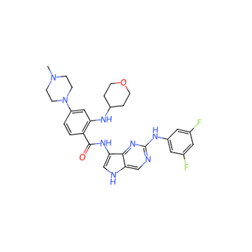 CN1CCN(c2ccc(C(=O)Nc3c[nH]c4cnc(Nc5cc(F)cc(F)c5)nc34)c(NC3CCOCC3)c2)CC1